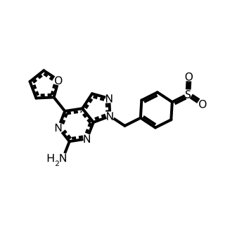 Nc1nc(-c2ccco2)c2cnn(CC3=CCC(=S(=O)=O)C=C3)c2n1